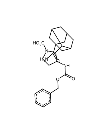 NC(=O)C12CC3CC(C1)C(C1C(NC(=O)OCc4ccccc4)CCN1C(=O)O)C(C3)C2